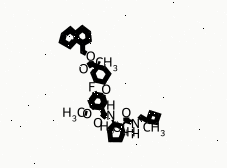 COc1cc(F)c(O[C@H]2CC[C@@](C)(C(=O)OCc3cccc4ccccc34)CC2)cc1C(=O)N[C@H]1[C@@H](C(=O)NCC2(C)CCC2)[C@H]2CC[C@@H]1O2